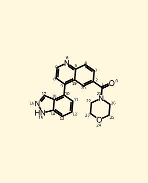 O=C(c1ccc2nccc(-c3cccc4[nH]ncc34)c2c1)N1CCOCC1